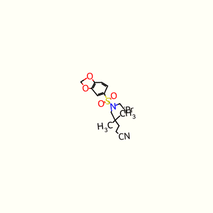 CC(C)CN(CC(C)(C)CCC#N)S(=O)(=O)c1ccc2c(c1)OCO2